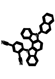 N#Cc1ccc(-n2c3ccccc3c3ccc4c(c5ccccc5n4-c4ccc5ccccc5c4)c32)c(C#N)c1